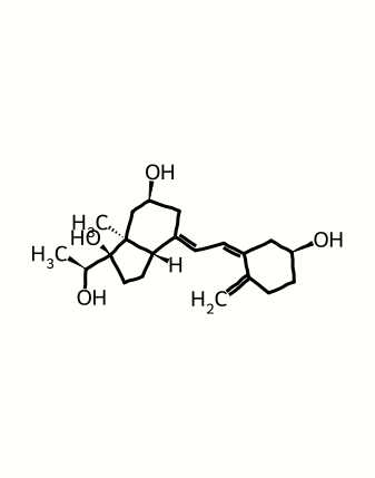 C=C1CC[C@H](O)C/C1=C/C=C1\C[C@H](O)C[C@@]2(C)[C@H]1CC[C@]2(O)[C@H](C)O